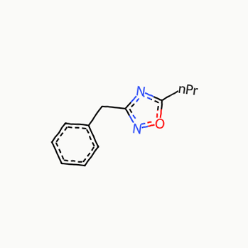 CCCc1nc(Cc2ccccc2)no1